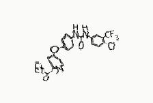 CCC(=O)c1cc(Oc2ccc(NC(=O)Nc3ccc(Cl)c(C(F)(F)F)c3)cc2)ccn1